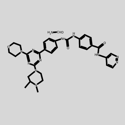 CC1CN(c2nc(-c3ccc(NC(=O)Nc4ccc(C(=O)Nc5ccnnc5)cc4)cc3)nc(N3CCOCC3)n2)CCN1C.NC=O